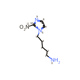 NCCCCCn1ccnc1[N+](=O)[O-]